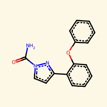 NC(=O)n1ccc(-c2ccccc2Oc2ccccc2)n1